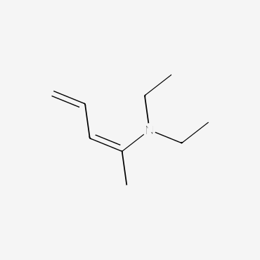 C=CC=C(C)N(CC)CC